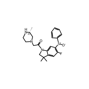 C[C@@H]1CN(CC(=O)N2CC(C)(C)c3cc(F)c([S+]([O-])c4ccccc4)cc32)CCN1